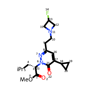 COC(=O)[C@H](CC(C)C)n1nc(CCN2CC(F)C2)cc(C2CC2)c1=O